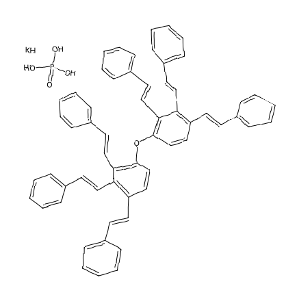 C(=Cc1ccc(Oc2ccc(C=Cc3ccccc3)c(C=Cc3ccccc3)c2C=Cc2ccccc2)c(C=Cc2ccccc2)c1C=Cc1ccccc1)c1ccccc1.O=P(O)(O)O.[KH]